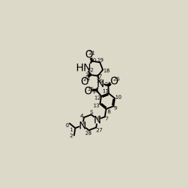 CC(C)N1CCN(Cc2ccc3c(c2)C(=O)N(C2CCC(=O)NC2=O)C3=O)CC1